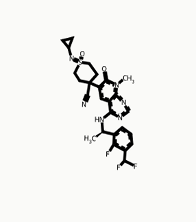 C[C@@H](Nc1ncnc2c1cc(C1(C#N)CCS(=O)(=NC3CC3)CC1)c(=O)n2C)c1cccc(C(F)F)c1F